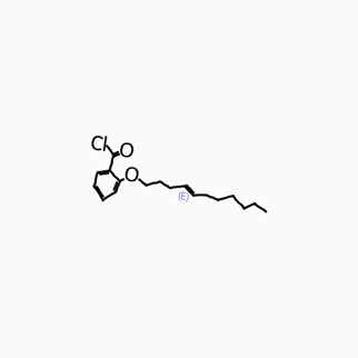 CCCCCC/C=C/CCCOc1ccccc1C(=O)Cl